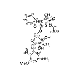 COc1nc(N)nc2c1ncn2[C@@H]1O[C@H](COP(=S)(N[C@@H](C)C(=O)OCC(C)(C)C)Oc2ccccc2)[C@@H](O)[C@@]1(C)O